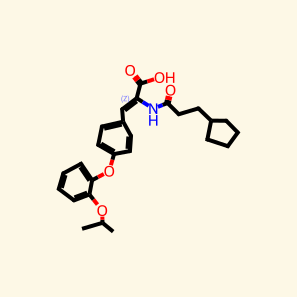 CC(C)Oc1ccccc1Oc1ccc(/C=C(\NC(=O)CCC2CCCC2)C(=O)O)cc1